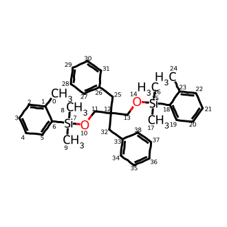 Cc1ccccc1[Si](C)(C)OCC(CO[Si](C)(C)c1ccccc1C)(Cc1ccccc1)Cc1ccccc1